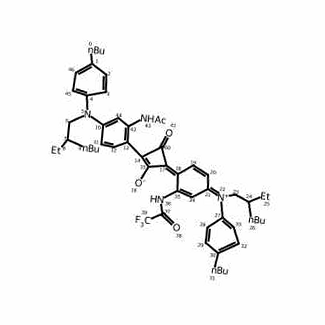 CCCCc1ccc(N(CC(CC)CCCC)c2ccc(C3=C([O-])/C(=C4C=C/C(=[N+](\CC(CC)CCCC)c5ccc(CCCC)cc5)C=C/4NC(=O)C(F)(F)F)C3=O)c(NC(C)=O)c2)cc1